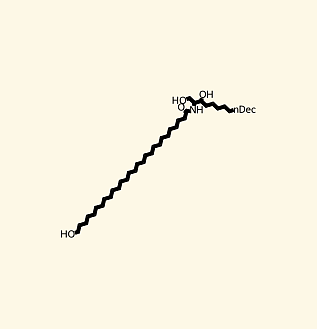 CCCCCCCCCCCCCCCC(O)C(CO)NC(=O)CCCCCCCCCCCCCCCCCCCCCCCCCCCO